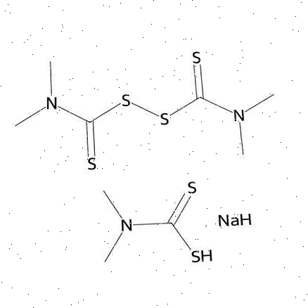 CN(C)C(=S)S.CN(C)C(=S)SSC(=S)N(C)C.[NaH]